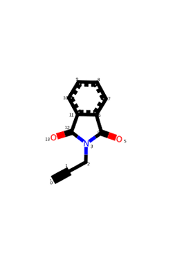 [C]#CCN1C(=O)c2ccccc2C1=O